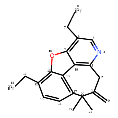 C=C1Cc2ncc(CC(C)C)c3oc4c(CC(C)C)ccc(c4c23)C1(C)C